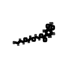 CCCCOCCOCCOC(=O)c1ccc2c(c1)OCO2